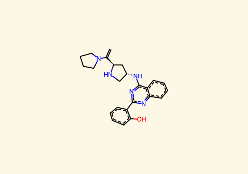 C=C([C@H]1C[C@H](Nc2nc(-c3ccccc3O)nc3ccccc23)CN1)N1CCCC1